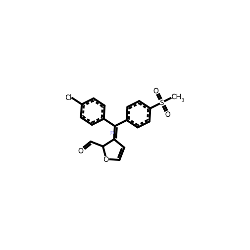 CS(=O)(=O)c1ccc(/C(=C2\C=COC2C=O)c2ccc(Cl)cc2)cc1